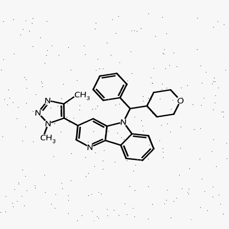 Cc1nnn(C)c1-c1cnc2c3ccccc3n(C(c3ccccc3)C3CCOCC3)c2c1